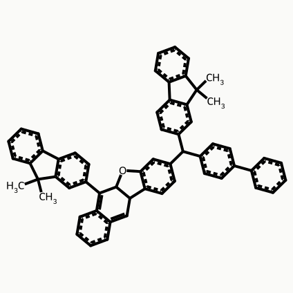 CC1(C)c2ccccc2-c2ccc(C3=c4ccccc4=CC4c5ccc(C(c6ccc(-c7ccccc7)cc6)c6ccc7c(c6)C(C)(C)c6ccccc6-7)cc5OC34)cc21